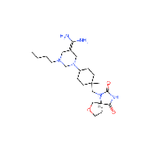 CCCCN1CC(=C(N)N)CN(C2CCC(C)(CN3C(=O)NC(=O)[C@]34CCOC4)CC2)C1